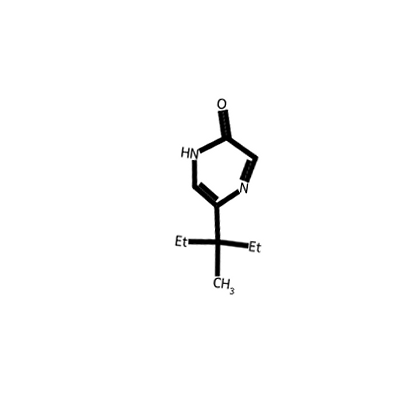 CCC(C)(CC)c1c[nH]c(=O)cn1